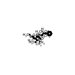 CCOC(=O)/C(C)=C/[C@H](C(C)C)N(C)C(=O)C(NC(=O)[C@@H](NC)C(C)(C)c1ccccc1)C(C)(C)C